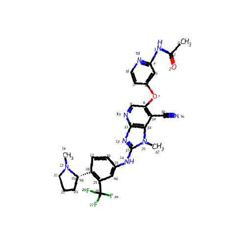 CC(=O)Nc1cc(Oc2cnc3nc(Nc4ccc([C@@H]5CCCN5C)c(C(F)(F)F)c4)n(C)c3c2C#N)ccn1